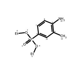 CCOP(=O)(OCC)c1ccc(N)c(C)c1